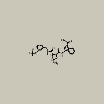 NC(=O)n1cc(NC(=O)N2C[C@@H](N)C[C@H]2C(=O)NCc2cccc(OC(F)(F)F)c2)c2ccccc21